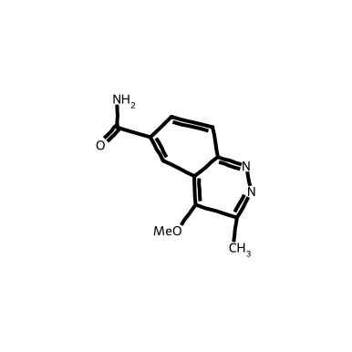 COc1c(C)nnc2ccc(C(N)=O)cc12